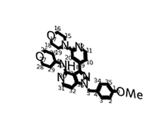 COc1ccc(Cn2nc(-c3ccnc(N4CCOCC4)c3)c3c(NC4CCOCC4)nccc32)cc1